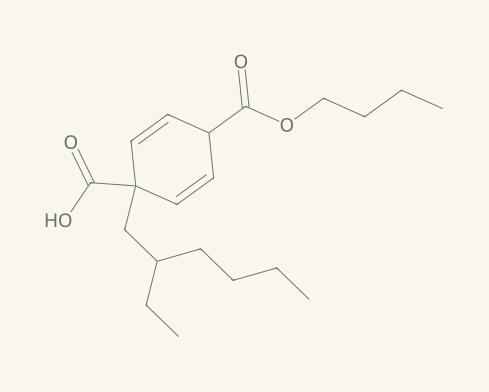 CCCCOC(=O)C1C=CC(CC(CC)CCCC)(C(=O)O)C=C1